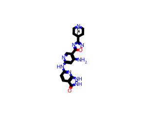 Nc1cc(Nc2ccc3c(=O)[nH][nH]c3n2)ncc1-c1nc(C23CCN(CC2)CC3)no1